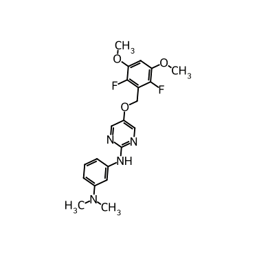 COc1cc(OC)c(F)c(COc2cnc(Nc3cccc(N(C)C)c3)nc2)c1F